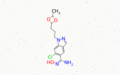 CC1OC(CCCn2ncc3cc(/C(N)=N\O)c(Cl)cc32)O1